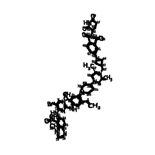 CCc1cc(Nc2ncc(Br)c(Nc3ccc4nccnc4c3P(C)(C)=O)n2)c(OC)cc1N1CCC(N2C[C@@H](C)N(CC3CN(c4ccc5c(c4)C(=O)N(C4CCC(=O)NC4=O)C5=O)C3)[C@@H](C)C2)CC1